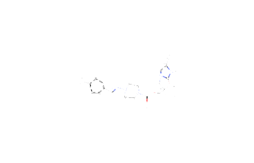 C[C@]1(COC(=O)N2CCN(/N=C/c3ccc(C(F)(F)F)cc3)CC2)Cn2cc([N+](=O)[O-])nc2O1